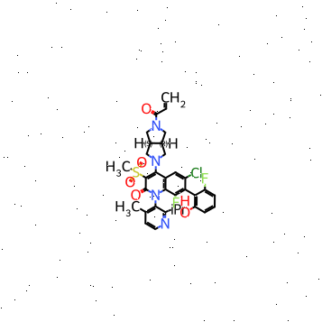 C=CC(=O)N1C[C@@H]2CN(c3c(S(C)(=O)=O)c(=O)n(-c4c(C)ccnc4C(C)C)c4c(F)c(-c5c(O)cccc5F)c(Cl)cc34)C[C@@H]2C1